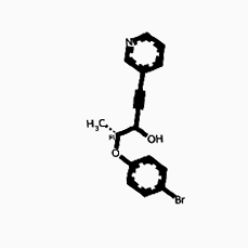 C[C@@H](Oc1ccc(Br)cc1)C(O)C#Cc1cccnc1